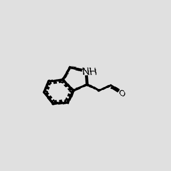 O=CCC1NCc2ccccc21